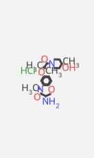 CN1C(=O)[C@@H](N)COc2ccc(OC(C)(C)C(=O)N3CCC(C)(O)CC3)cc21.Cl